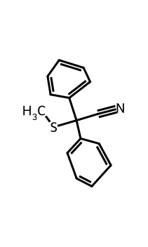 CSC(C#N)(c1ccccc1)c1ccccc1